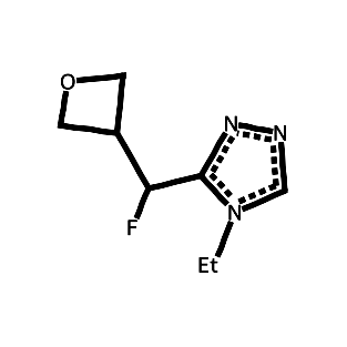 CCn1cnnc1C(F)C1COC1